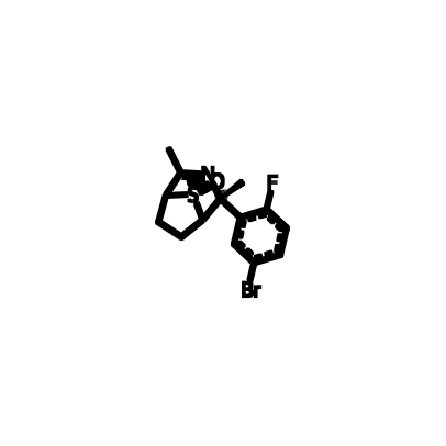 CC1=N[C@](C)(c2cc(Br)ccc2F)C2CCC1S2(=O)=O